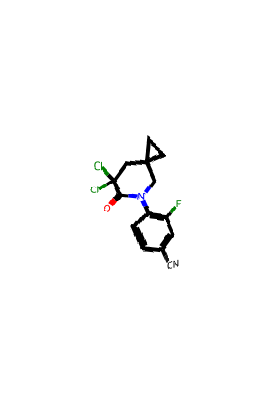 N#Cc1ccc(N2CC3(CC3)CC(Cl)(Cl)C2=O)c(F)c1